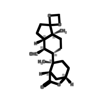 C[C@]1([C@H]2CC[C@@]3(C)[C@@H](CCC34OCO4)[C@@H]2C=O)CC[C@H]2C[C@@H]1C(=O)O2